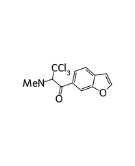 CNC(C(=O)c1ccc2ccoc2c1)C(Cl)(Cl)Cl